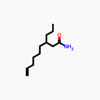 C=CCCCCC(CCC)CC(N)=O